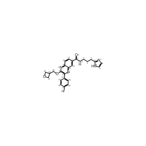 O=C(NCCCc1ncc[nH]1)c1ccc2nc(OCC3COC3)c(-c3ccc(F)cc3)nc2c1